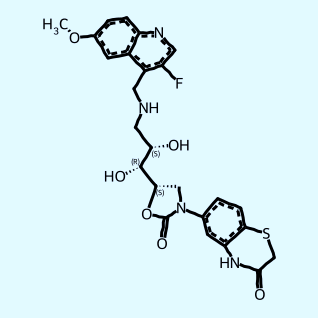 COc1ccc2ncc(F)c(CNC[C@H](O)[C@@H](O)[C@@H]3CN(c4ccc5c(c4)NC(=O)CS5)C(=O)O3)c2c1